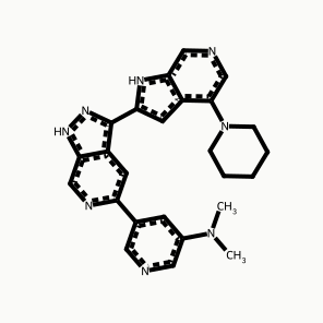 CN(C)c1cncc(-c2cc3c(-c4cc5c(N6CCCCC6)cncc5[nH]4)n[nH]c3cn2)c1